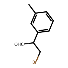 Cc1cccc(C(C=O)CBr)c1